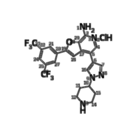 Cl.Nc1ncc(-c2cnn(C3CCNCC3)c2)c2cc(-c3cc(C(F)(F)F)cc(C(F)(F)F)c3)oc12